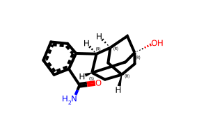 NC(=O)c1ccccc1[C@H]1[C@@H]2C[C@H]3C[C@H]1C[C@](O)(C3)C2